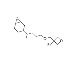 [CH2]C(CCCOCC1(CC)COC1)C1CCC2OC2C1